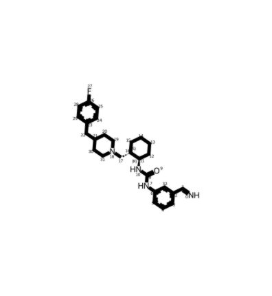 N=Cc1cccc(NC(=O)N[C@@H]2CCCC[C@H]2CN2CCC(Cc3ccc(F)cc3)CC2)c1